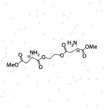 COC(=O)C[C@H](N)C(=O)OCCOC(=O)C[C@H](N)C(=O)OC